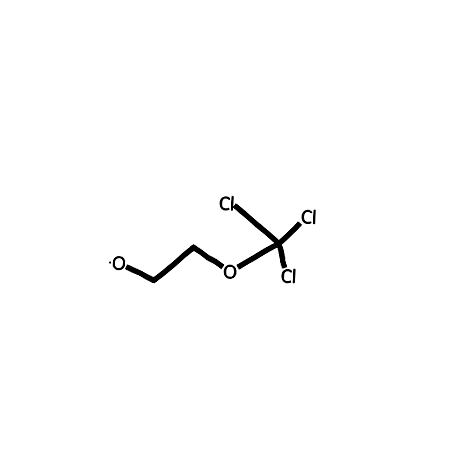 [O]CCOC(Cl)(Cl)Cl